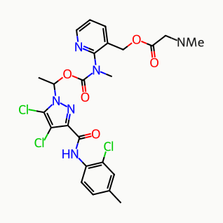 CNCC(=O)OCc1cccnc1N(C)C(=O)OC(C)n1nc(C(=O)Nc2ccc(C)cc2Cl)c(Cl)c1Cl